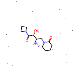 NC(CN1CCCCC1=O)C(O)C(=O)N1CCC1